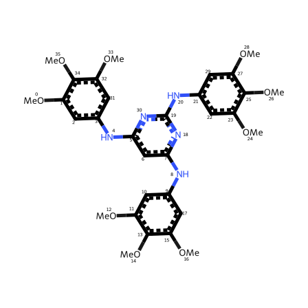 COc1cc(Nc2cc(Nc3cc(OC)c(OC)c(OC)c3)nc(Nc3cc(OC)c(OC)c(OC)c3)n2)cc(OC)c1OC